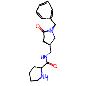 O=C(NCC1CC(=O)N(Cc2ccccc2)C1)C1CCCCN1